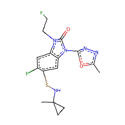 Cc1nnc(-n2c(=O)n(CCF)c3cc(F)c(SNC4(C)CC4)cc32)o1